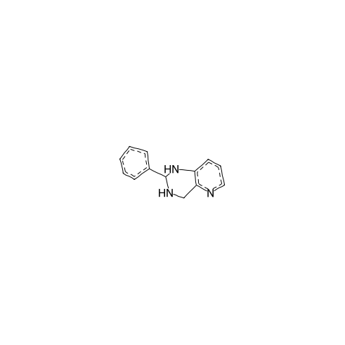 c1ccc(C2NCc3ncccc3N2)cc1